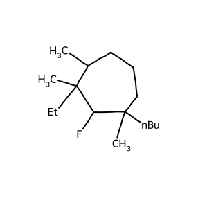 CCCCC1(C)CCCC(C)C(C)(CC)C1F